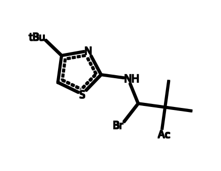 CC(=O)C(C)(C)C(Br)Nc1nc(C(C)(C)C)cs1